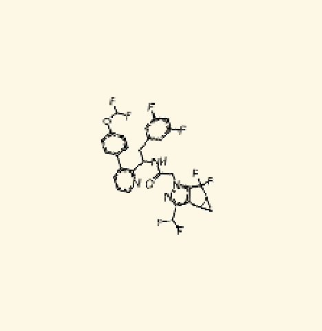 O=C(Cn1nc(C(F)F)c2c1C(F)(F)C1CC21)NC(Cc1cc(F)cc(F)c1)c1ncccc1-c1ccc(OC(F)F)cc1